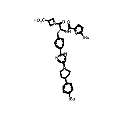 CC(C)(C)c1ccc(C2CCN(c3cnc(-c4ccc(C[C@H](NC(=O)c5ccc(C(C)(C)C)s5)C(=O)N5CC(C(=O)O)C5)cc4)nc3)CC2)cc1